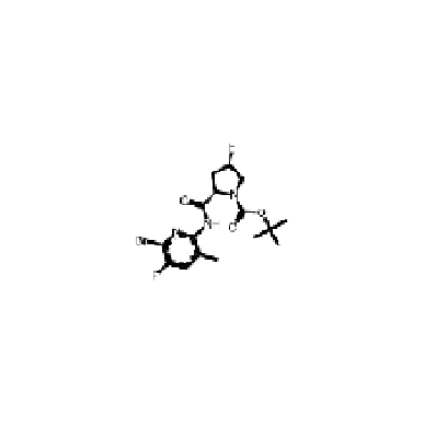 Cc1cc(F)c(Br)nc1NC(=O)[C@H]1C[C@@H](F)CN1C(=O)OC(C)(C)C